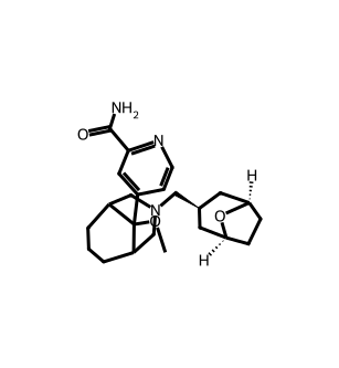 COC1(c2ccnc(C(N)=O)c2)C2CCCC1CN(C[C@H]1C[C@H]3CC[C@@H](C1)O3)C2